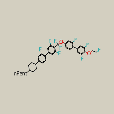 CCCCCC1CCC(c2ccc(-c3cc(F)c(C(F)(F)Oc4ccc(-c5cc(F)c(OCCF)c(F)c5)c(F)c4)c(F)c3)c(F)c2)CC1